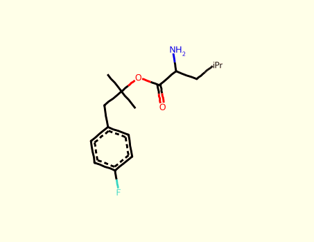 CC(C)CC(N)C(=O)OC(C)(C)Cc1ccc(F)cc1